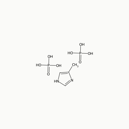 Cc1c[nH]cn1.O=P(O)(O)O.O=P(O)(O)O